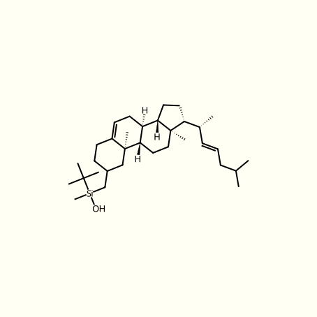 CC(C)C/C=C/[C@@H](C)[C@H]1CC[C@H]2[C@@H]3CC=C4CCC(C[Si](C)(O)C(C)(C)C)C[C@]4(C)[C@H]3CC[C@]12C